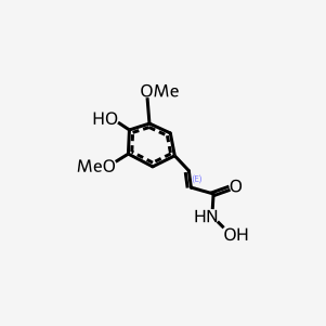 COc1cc(/C=C/C(=O)NO)cc(OC)c1O